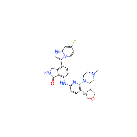 CN1CCN(c2nc(Nc3ccc(-c4cnc5cc(F)ccn45)c4c3C(=O)NC4)ccc2[C@@H]2CCOC2)CC1